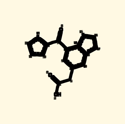 O=C(O)Cc1cc(C(=O)c2cccs2)c2sccc2c1